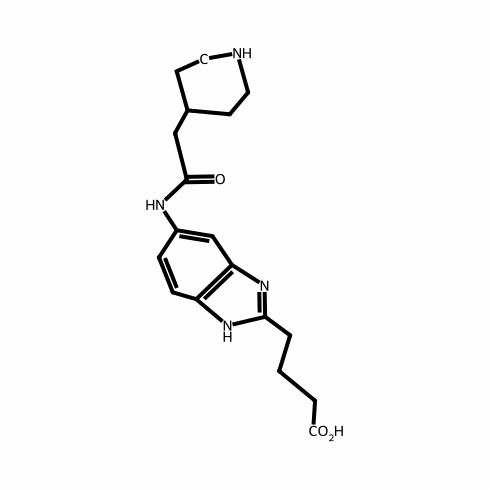 O=C(O)CCCc1nc2cc(NC(=O)CC3CCNCC3)ccc2[nH]1